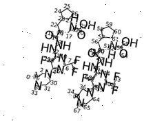 C[C@@H]1CN(c2nc(C(F)F)nc(NNC(=O)[C@@H](CNC(=O)O)CC3CCCC3)c2F)CCN1C.C[C@@H]1CN(c2nc(C(F)F)nc(NNC(=O)[C@@H](CNC(=O)O)CC3CCCC3)c2F)CCN1C